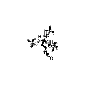 C[Si](C)(C)O[SiH2]C(CCN=C=O)([SiH2]O[Si](C)(C)C)[SiH2]O[Si](C)(C)C